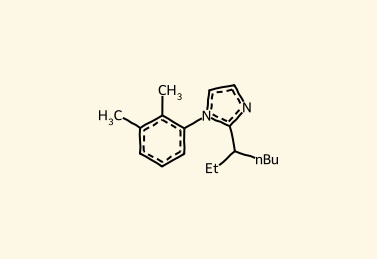 CCCCC(CC)c1nccn1-c1cccc(C)c1C